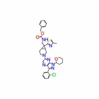 Cc1csc(C2(CNC(=O)OCc3ccccc3)C3CCN(c4cnc5c(-c6ccccc6Cl)nn(C6CCCCO6)c5n4)CC32)n1